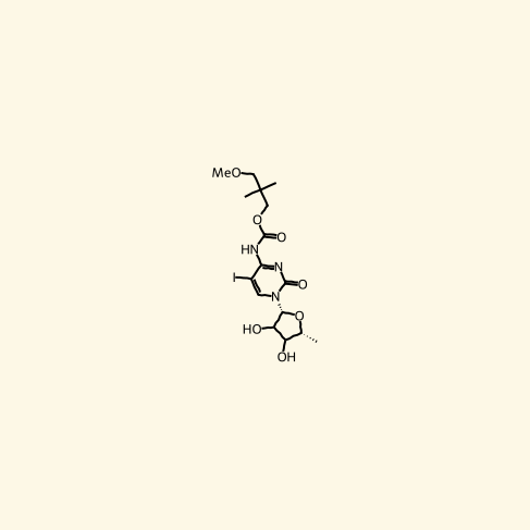 COCC(C)(C)COC(=O)Nc1nc(=O)n([C@@H]2O[C@H](C)C(O)C2O)cc1I